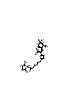 CC(=O)Oc1cc(F)c2cc(-c3ccc(CCCCCC(=O)ON4C(=O)CCC4=O)s3)c(=O)oc2c1